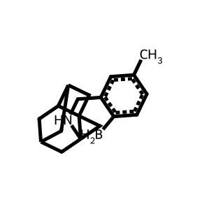 Bc1ccc(C)cc1CNC12CC3CC4CC1(C2)C4C3